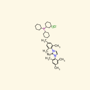 C1CCC(P(C2CCCCC2)C2CCCCC2)CC1.Cc1cc(C)c(-n2ccn(-c3c(C)cc(C)cc3C)[c]2=[Ru+2])c(C)c1.[Cl-].[Cl-]